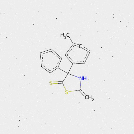 C=C1NC(c2ccccc2)(c2cccc(C)c2)C(=S)S1